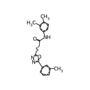 Cc1cccc(-c2nnc(SCC(=O)Nc3ccc(C)c(C)c3)o2)c1